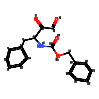 O=CC(=O)C(Cc1ccccc1)NC(=O)OCc1ccccc1